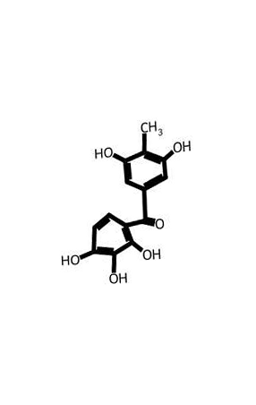 Cc1c(O)cc(C(=O)c2ccc(O)c(O)c2O)cc1O